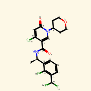 C[C@@H](NC(=O)c1cn(C2CCOCC2)c(=O)cc1Cl)c1cccc(C(F)F)c1F